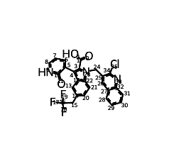 O=C(O)c1c(-c2ccc[nH]c2=O)c2cc(CC(F)(F)F)ccc2n1Cc1cc2ccccc2nc1Cl